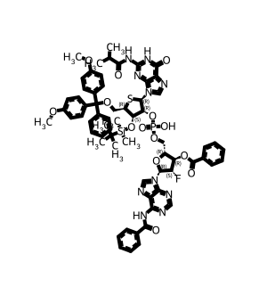 COc1ccc(C(OC[C@H]2S[C@@H](n3cnc4c(=O)[nH]c(NC(=O)C(C)C)nc43)[C@H](OP(=O)(O)OC[C@H]3O[C@@H](n4cnc5c(NC(=O)c6ccccc6)ncnc54)[C@@H](F)[C@@H]3OC(=O)c3ccccc3)[C@@H]2O[Si](C)(C)C(C)(C)C)(c2ccccc2)c2ccc(OC)cc2)cc1